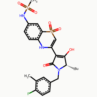 Cc1cc(CN2C(=O)C(C3=CS(=O)(=O)c4cc(NS(C)(=O)=O)ccc4N3)=C(O)[C@@H]2C(C)(C)C)ccc1F